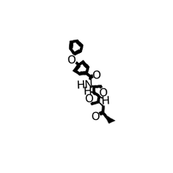 O=C(N[C@H]1CO[C@@H]2[C@@H](CC(=O)C3CC3)CO[C@@H]21)c1ccc(Oc2ccccc2)cc1